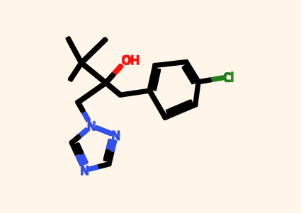 CC(C)(C)C(O)(Cc1ccc(Cl)cc1)Cn1cncn1